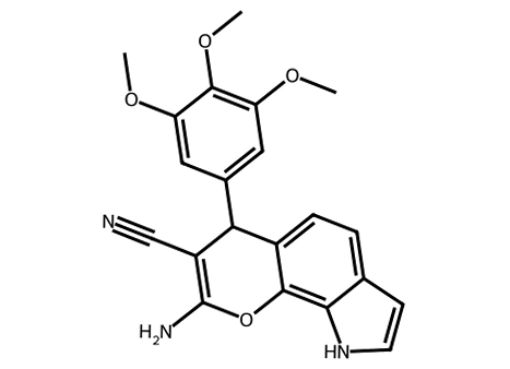 COc1cc(C2C(C#N)=C(N)Oc3c2ccc2cc[nH]c32)cc(OC)c1OC